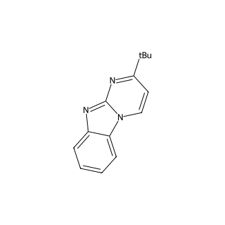 CC(C)(C)c1ccn2c(n1)nc1ccccc12